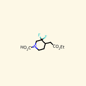 CCOC(=O)CC1CCN(C(=O)O)CC1(F)F